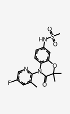 Cc1cc(F)cnc1N1C(=O)C(C)(C)Oc2cc(NS(C)(=O)=O)ccc21